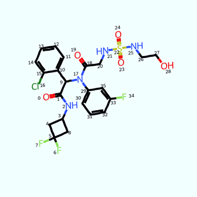 O=C(NC1CC(F)(F)C1)C(c1ccccc1Cl)N(C(=O)CNS(=O)(=O)NCCO)c1cccc(F)c1